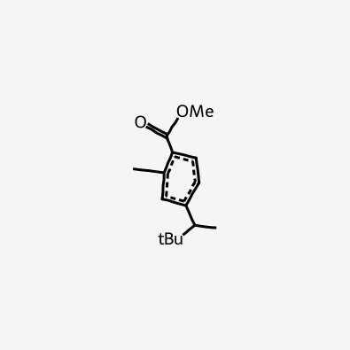 COC(=O)c1ccc(C(C)C(C)(C)C)cc1C